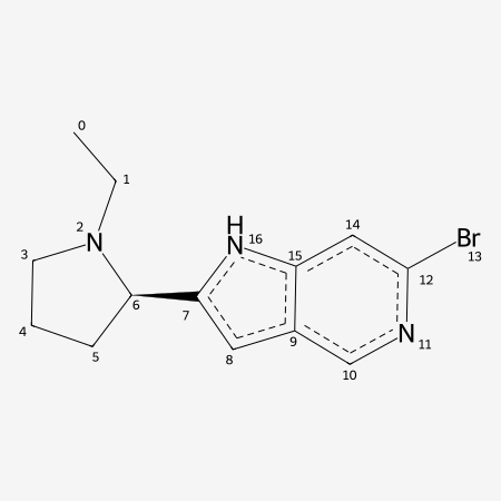 CCN1CCC[C@@H]1c1cc2cnc(Br)cc2[nH]1